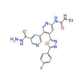 CCNC(=O)Nc1cc(-c2nnc(-c3ccc(F)cc3)o2)c(-c2cncc(C(=O)NN)c2)cn1